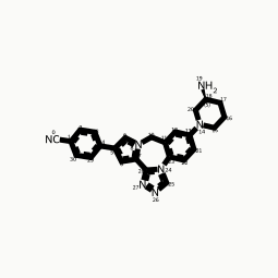 N#Cc1ccc(-c2cc3n(c2)Cc2cc(N4CCC[C@H](N)C4)ccc2-n2cnnc2-3)cc1